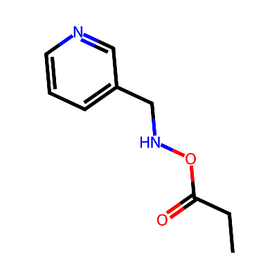 CCC(=O)ONCc1cccnc1